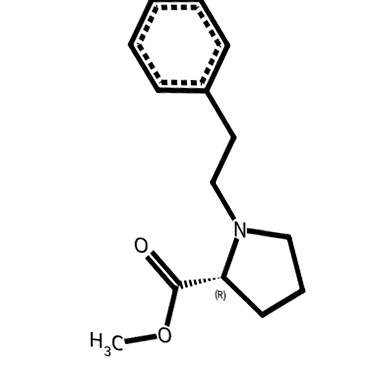 COC(=O)[C@H]1CCCN1CCc1ccccc1